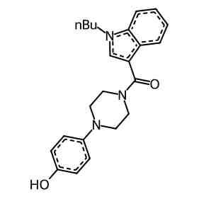 CCCCn1cc(C(=O)N2CCN(c3ccc(O)cc3)CC2)c2ccccc21